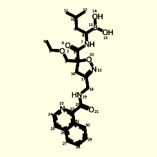 CCOCC1(C(=O)NC(CC(C)C)B(O)O)CC(CNC(=O)c2nccc3ccccc23)=NO1